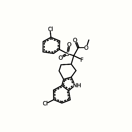 COC(=O)C(F)(C1CCc2c([nH]c3ccc(Cl)cc23)C1)S(=O)(=O)c1cccc(Cl)c1